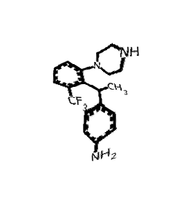 CC(c1ccc(N)cc1)c1c(N2CCNCC2)cccc1C(F)(F)F